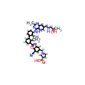 Cc1nc(Nc2cccc(-c3cccc(-c4nc5cc(CN6CC[C@@H](C(=O)O)C6)cc(C#N)c5o4)c3C)c2C)c2ncc(CNC[C@H](C)O)cc2n1